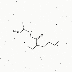 CCCCC(CC)C(=O)CCC(C)C=O